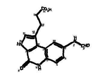 O=CNc1ccc2[nH]c(=O)c3[nH]cc(CCC(=O)O)c3c2c1